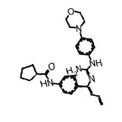 C=C/C=C(\N=C(/N)Nc1ccc(N2CCOCC2)cc1)c1ccc(NC(=O)C2CCCC2)cc1